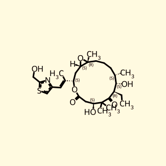 CC[C@H]1C(=O)C(C)(C)[C@@H](O)CC(=O)O[C@H](C(C)=Cc2csc(CO)n2)C[C@@H]2O[C@]2(C)CCC[C@H](C)[C@@H]1O